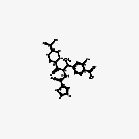 C[C@@H](c1ccc([N+](=O)[O-])c(F)c1)[C@@H](NC(=O)c1cnns1)C(=O)N1CCC(=C(F)F)CC1